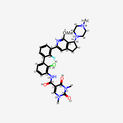 COc1nc(-c2cccc(-c3cccc(NC(=O)c4cn(C)c(=O)n(C)c4=O)c3Cl)c2F)cc2c1[C@@H](N1CCN(C(C)=O)CC1)CC2